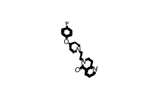 O=C1c2cccnc2CCN1CCN1CCC(Oc2ccc(F)cc2)CC1